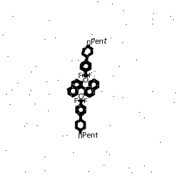 CCCCCC1CCC(c2ccc(C(F)(F)Oc3ccc4ccccc4c3-c3c(OC(F)(F)c4ccc(C5CCC(CCCCC)CC5)cc4)ccc4ccccc34)cc2)CC1